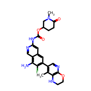 Cc1c(-c2cc3cc(NC(=O)OC4CCC(=O)N(C)C4)ncc3c(N)c2F)cnc2c1NCCO2